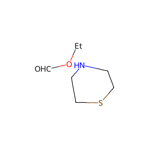 C1CSCCN1.CCOC=O